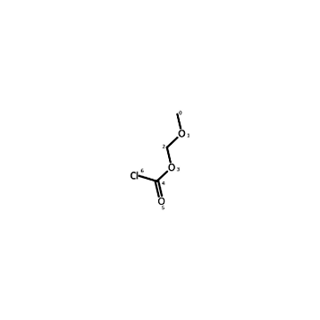 COCOC(=O)Cl